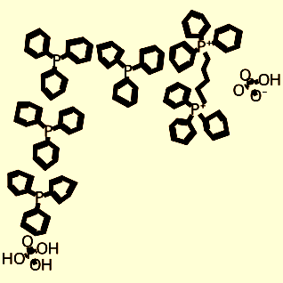 O=P(O)(O)O.O=P([O-])([O-])O.c1ccc(P(c2ccccc2)c2ccccc2)cc1.c1ccc(P(c2ccccc2)c2ccccc2)cc1.c1ccc(P(c2ccccc2)c2ccccc2)cc1.c1ccc(P(c2ccccc2)c2ccccc2)cc1.c1ccc([P+](CCCCC[P+](c2ccccc2)(c2ccccc2)c2ccccc2)(c2ccccc2)c2ccccc2)cc1